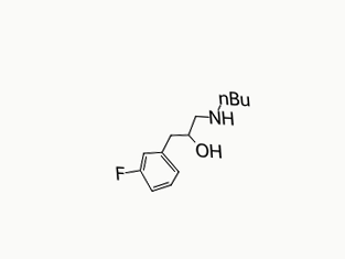 CCCCNCC(O)Cc1cccc(F)c1